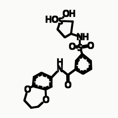 O=C(Nc1ccc2c(c1)OCCCO2)c1cccc(S(=O)(=O)NC2CCS(O)(O)C2)c1